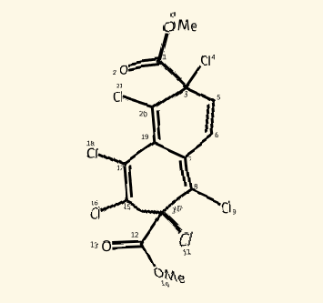 COC(=O)C1(Cl)C=CC2=C(Cl)C(Cl)(C(=O)OC)C(Cl)=C(Cl)C2=C1Cl